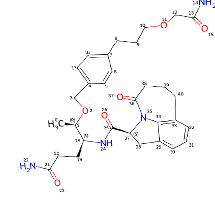 C[C@@H](OCc1ccc(CCCOCC(N)=O)cc1)[C@H](CCC(N)=O)NC(=O)[C@@H]1Cc2cccc3c2N1C(=O)CCC3